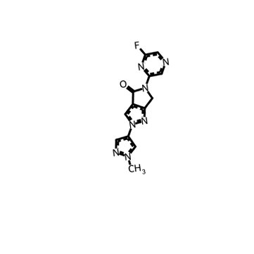 Cn1cc(-n2cc3c(n2)CN(c2cncc(F)n2)C3=O)cn1